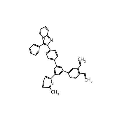 C=Cc1ccc(-c2cc(-c3ccc(-c4nc5ccccn5c4-c4ccccc4)cc3)cc(-c3cccc(C)n3)c2)cc1C=C